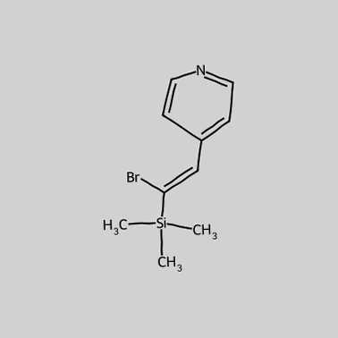 C[Si](C)(C)C(Br)=Cc1ccncc1